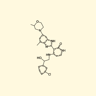 Cc1cc(N2CCOC(C)C2)cc2[nH]c(-c3c(NCC(O)c4cccc(Cl)c4)cc[nH]c3=O)nc12